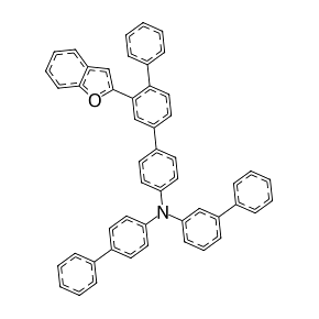 c1ccc(-c2ccc(N(c3ccc(-c4ccc(-c5ccccc5)c(-c5cc6ccccc6o5)c4)cc3)c3cccc(-c4ccccc4)c3)cc2)cc1